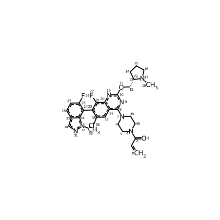 C=CC(=O)N1CCN(c2nc(OC[C@@H]3CCCN3C)nc3c(F)c(-c4c(F)ccc5cnn(C)c45)c(Cl)cc23)CC1